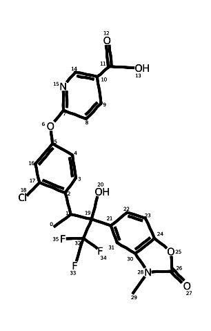 CC(c1ccc(Oc2ccc(C(=O)O)cn2)cc1Cl)C(O)(c1ccc2oc(=O)n(C)c2c1)C(F)(F)F